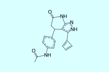 CC(=O)Nc1ccc(C2CC(=O)Nc3n[nH]c(C4=CC=C4)c32)cc1